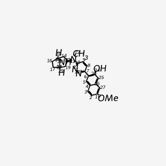 COc1ccc2cc(-c3ccc(N(C)[C@@H]4C[C@H]5CC[C@@H](C4)N5)nn3)c(O)cc2c1